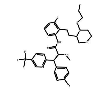 CCCSN1CCNCC1CCc1c(F)cccc1NC(=O)C(NC)C(c1ccc(F)cc1)c1ccc(C(F)(F)F)cn1